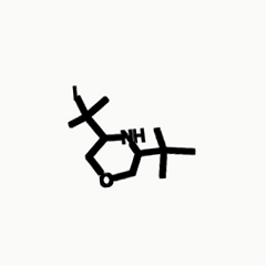 CC(C)(C)C1COCC(C(C)(C)I)N1